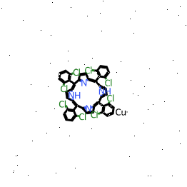 Clc1cccc(Cl)c1-c1c2nc(c(-c3c(Cl)cccc3Cl)c3ccc([nH]3)c(-c3c(Cl)cccc3Cl)c3nc(c(-c4c(Cl)cccc4Cl)c4ccc1[nH]4)C=C3)C=C2.[Cu]